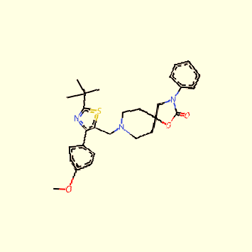 COc1ccc(-c2nc(C(C)(C)C)sc2CN2CCC3(CC2)CN(c2ccccc2)C(=O)O3)cc1